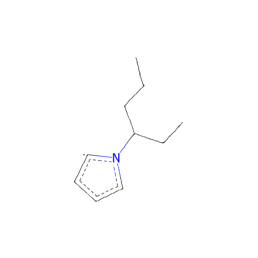 CCCC(CC)n1[c]ccc1